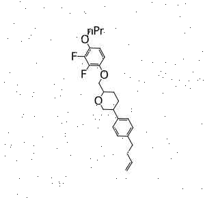 C=CCCc1ccc(C2CCC(COc3ccc(OCCC)c(F)c3F)OC2)cc1